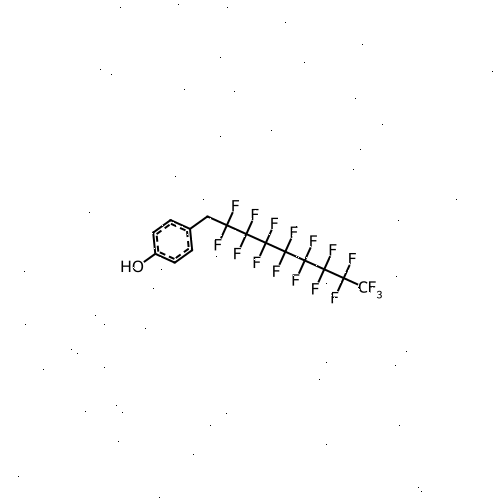 Oc1ccc(CC(F)(F)C(F)(F)C(F)(F)C(F)(F)C(F)(F)C(F)(F)C(F)(F)C(F)(F)F)cc1